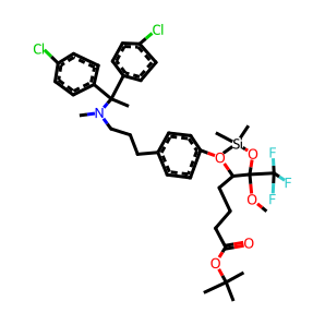 COC(O[Si](C)(C)C)(C(CCCC(=O)OC(C)(C)C)Oc1ccc(CCCN(C)C(C)(c2ccc(Cl)cc2)c2ccc(Cl)cc2)cc1)C(F)(F)F